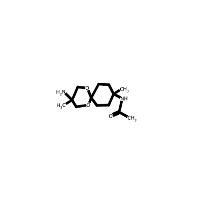 CC(=O)NC1(C)CCC2(CC1)OCC(C)(N)CO2